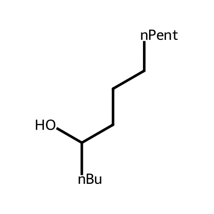 [CH2]CCCC(O)CCCCCCCC